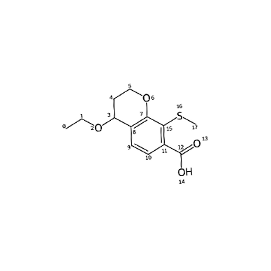 CCOC1CCOc2c1ccc(C(=O)O)c2SC